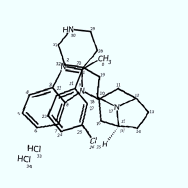 Cc1nc2ccccc2n1C1CC2CC[C@@H](C1)N2CCC1(c2cccc(Cl)c2)CCNCC1.Cl.Cl